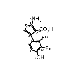 Nc1scc(-c2ccc(O)c(F)c2F)c1C(=O)O